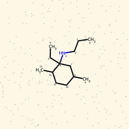 CCCNC1(CC)CC(C)CCC1C